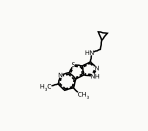 Cc1cc(C)c2c(n1)sc1c(NCC3CC3)n[nH]c12